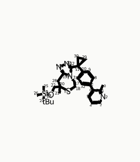 Cc1ncccc1-c1ccc(C2(c3nnc4n3CCSC(C)(CO[Si](C)(C)C(C)(C)C)C4)CC2)cc1